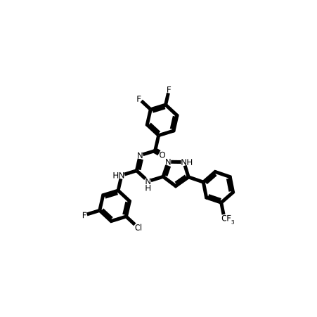 O=C(/N=C(/Nc1cc(F)cc(Cl)c1)Nc1cc(-c2cccc(C(F)(F)F)c2)[nH]n1)c1ccc(F)c(F)c1